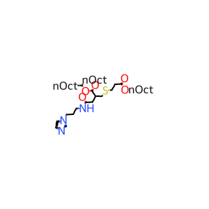 CCCCCCCCOC(=O)CCSCC(CC(=O)NCCCn1ccnc1)C(=O)OC(CCCCCCCC)CCCCCCCC